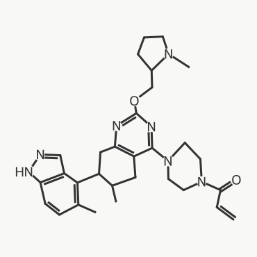 C=CC(=O)N1CCN(c2nc(OCC3CCCN3C)nc3c2CC(C)C(c2c(C)ccc4[nH]ncc24)C3)CC1